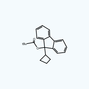 CC(C)(C)C(=O)OC1(C2CCC2)c2ccccc2-c2ccccc21